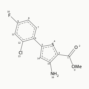 COC(=O)c1sc(-c2ccc(F)cc2Cl)cc1N